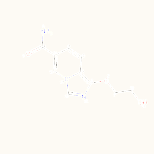 NC(=O)c1ccc2c(OCCO)ncn2c1